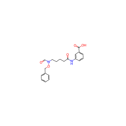 O=CN(CCCCC(=O)Nc1cccc(C(=O)O)c1)OCc1ccccc1